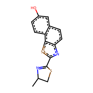 CC1CSC(c2nc3ccc4cc(O)ccc4c3s2)=N1